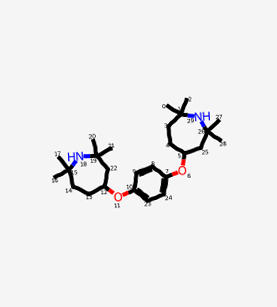 CC1(C)CCC(Oc2ccc(OC3CCC(C)(C)NC(C)(C)C3)cc2)CC(C)(C)N1